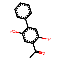 CC(=O)c1cc(O)c(-c2ccccc2)cc1O